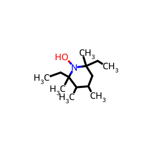 CCC1(C)CC(C)C(C)C(C)(CC)N1O